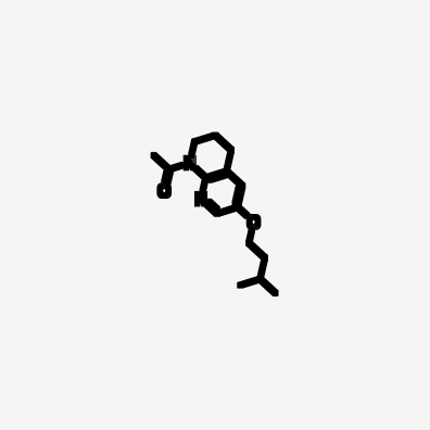 CC(=O)N1CCCc2cc(OCCC(C)C)cnc21